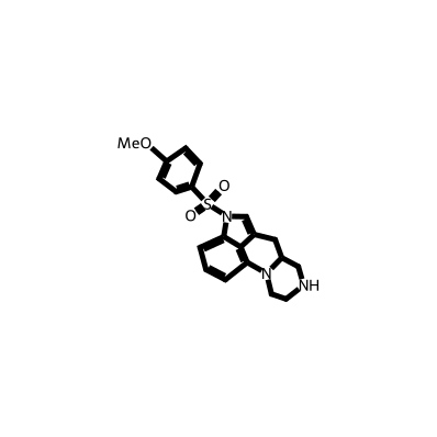 COc1ccc(S(=O)(=O)n2cc3c4c(cccc42)N2CCNCC2C3)cc1